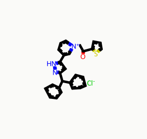 O=C(C[n+]1cccc(-c2cc(C(c3ccccc3)c3ccccc3)n[nH]2)c1)c1cccs1.[Cl-]